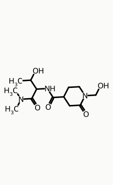 CC(O)C(NC(=O)C1CCN(CO)C(=O)C1)C(=O)N(C)C